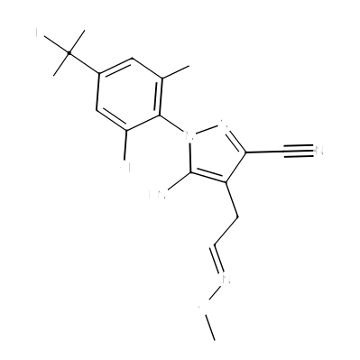 CON=CCc1c(C#N)nn(-c2c(Cl)cc(C(F)(F)F)cc2Cl)c1N